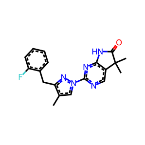 Cc1cn(-c2ncc3c(n2)NC(=O)C3(C)C)nc1Cc1ccccc1F